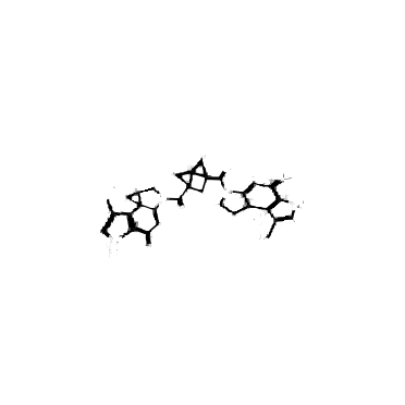 Cc1c[nH]c2c1C13C(=CC2=O)N(C(=O)C24CC5(C(=O)N6CC[C@@]7(C)C6=CC(=O)c6[nH]cc(C)c67)CC25C4)CC1[C@H]3C